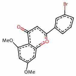 COc1cc(OC)c2c(=O)cc(-c3cccc(Br)c3)oc2c1